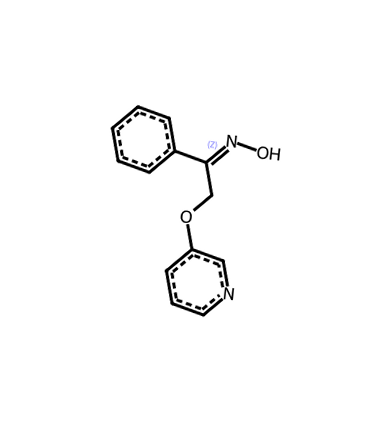 O/N=C(\COc1cccnc1)c1ccccc1